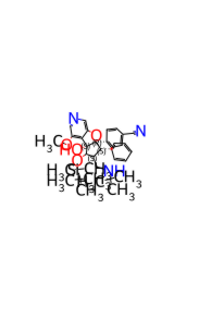 COc1cncc2c1[C@]1(O)C(O[Si](C)(C)C(C)(C)C)[C@H](CNC(C)(C)C)[C@@H](c3ccccc3)[C@]1(c1ccc(C#N)cc1)O2